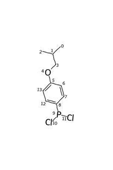 CC(C)COc1ccc(P(Cl)Cl)cc1